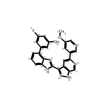 COc1cncc(-c2cc3c(-c4nc5c(-c6cc(O)cc(F)c6)cccc5[nH]4)n[nH]c3cn2)c1